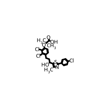 Cc1nc(-c2ccc(Cl)cc2)sc1C(O)CCc1ccc(OC(C)(C)C(=O)O)c(Cl)c1Cl